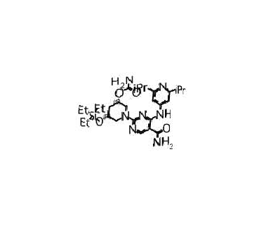 CC[Si](CC)(CC)O[C@@H]1C[C@H](OC(N)=O)CN(c2ncc(C(N)=O)c(Nc3cc(C(C)C)nc(C(C)C)c3)n2)C1